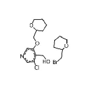 BrCC1CCCCO1.OCc1c(Cl)cncc1OCC1CCCCO1